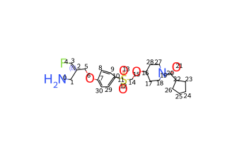 NC/C(=C\F)COc1ccc(S(=O)(=O)COC2CCN(C(=O)C3CCCC3)CC2)cc1